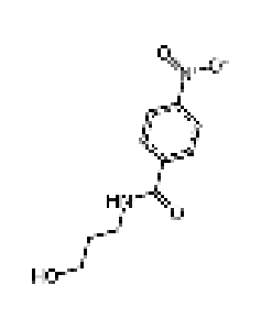 O=C(NCCCO)c1ccc([N+](=O)[O-])cc1